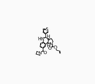 C=CCOC(=O)N1CC[C@H]2C(c3ccsc3)Nc3ccc(C(=O)N4CCC4)cc3[C@H]21